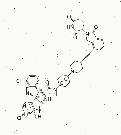 CC(C)(C)C[C@@H]1N[C@@H](C(=O)NC23CCC(N4CCC(C#Cc5cccc6c5CN(C5CCC(=O)NC5=O)C6=O)CC4)(CC2)CC3)[C@H](c2cccc(Cl)c2F)[C@@]1(C#N)c1ccc(Cl)cc1F